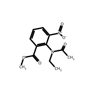 CCN(C(C)=O)c1c(C(=O)OC)cccc1[N+](=O)[O-]